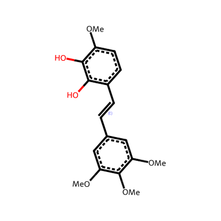 COc1ccc(/C=C/c2cc(OC)c(OC)c(OC)c2)c(O)c1O